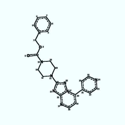 O=C(OCc1ccccc1)N1CCN(c2nc3nccc(-c4ccncc4)n3n2)CC1